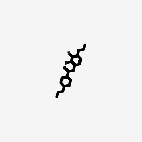 CCCC1CC=C(C(=O)Oc2ccc(OCC)c(F)c2F)CO1